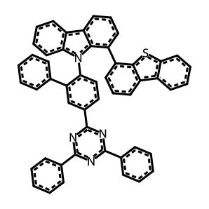 c1ccc(-c2nc(-c3ccccc3)nc(-c3ccc(-n4c5ccccc5c5cccc(-c6cccc7c6sc6ccccc67)c54)c(-c4ccccc4)c3)n2)cc1